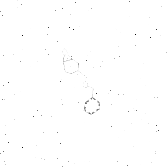 c1ccc(COCC2CCC3OC3C2)cc1